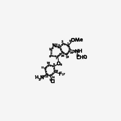 COc1cc2nccc(Oc3ccc(N)c(Cl)c3F)c2cc1NC=O